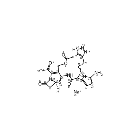 CC(=O)OCC1=C(C(=O)[O-])N2C(=O)C[C@@H]2SC1NC(=O)C1C2=CSC(N)N2N1OCc1c[nH]nn1.[Na+]